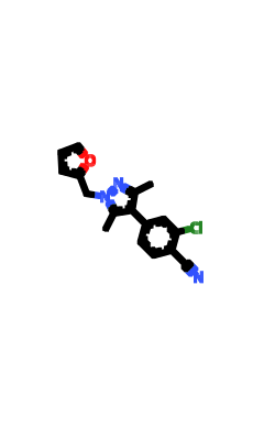 Cc1nn(Cc2ccco2)c(C)c1-c1ccc(C#N)c(Cl)c1